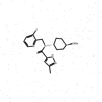 CO[C@H]1CC[C@H](N(Cc2ncccc2Cl)C(=O)c2cc(C)n[nH]2)CC1